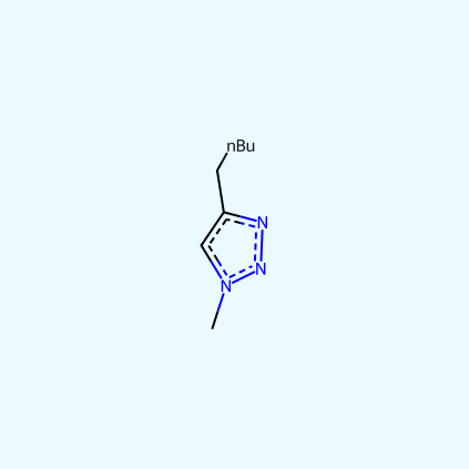 CCCCCc1cn(C)nn1